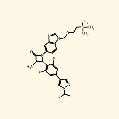 C[C@H]1C(=O)N(c2ccc3c(c2)ncn3COCC[Si](C)(C)C)[C@H]1c1c(F)cc(-c2cnn(C(F)F)c2)cc1F